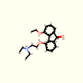 CCOc1cccc2c1-c1c(OCCN(CC)CC)cccc1C2=O